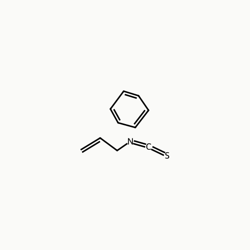 C=CCN=C=S.c1ccccc1